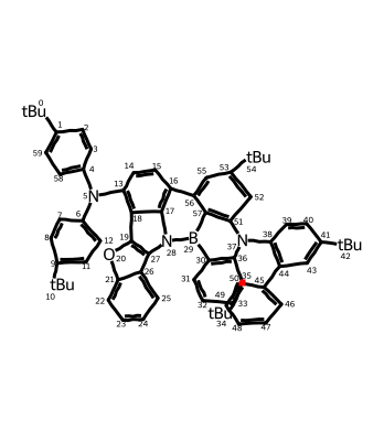 CC(C)(C)c1ccc(N(c2ccc(C(C)(C)C)cc2)c2ccc3c4c2c2oc5ccccc5c2n4B2c4ccc(C(C)(C)C)cc4N(c4ccc(C(C)(C)C)cc4-c4ccccc4)c4cc(C(C)(C)C)cc-3c42)cc1